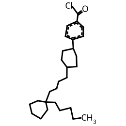 CCCCCC1(CCCCC2CCC(c3ccc(C(=O)Cl)cc3)CC2)CCCCC1